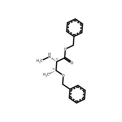 CN[C@H](C(=O)OCc1ccccc1)[C@@H](C)OCc1ccccc1